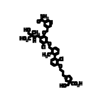 Cc1c(COc2cc(OCc3cncc(C(N)=O)c3)c(CN[C@](C)(CO)C(=O)O)cc2Cl)cccc1-c1cccc(OCCCN2CCC(CO)(C(=O)O)C2)c1Cl